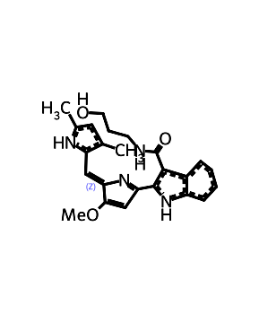 COC1=CC(c2[nH]c3ccccc3c2C(=O)NCCCO)=N/C1=C\c1[nH]c(C)cc1C